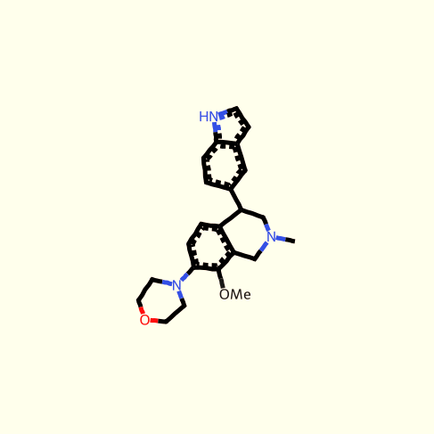 COc1c(N2CCOCC2)ccc2c1CN(C)CC2c1ccc2[nH]ccc2c1